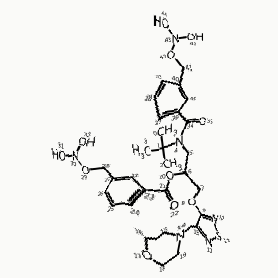 CC(C)(C)N(CC(COc1nsnc1N1CCOCC1)OC(=O)c1cccc(CON(O)O)c1)C(=O)c1cccc(CON(O)O)c1